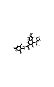 CCN(c1c(C)c(C(=O)NCc2c(C)cc(C)[nH]c2=O)cc2cc(Br)cn12)C1COC1